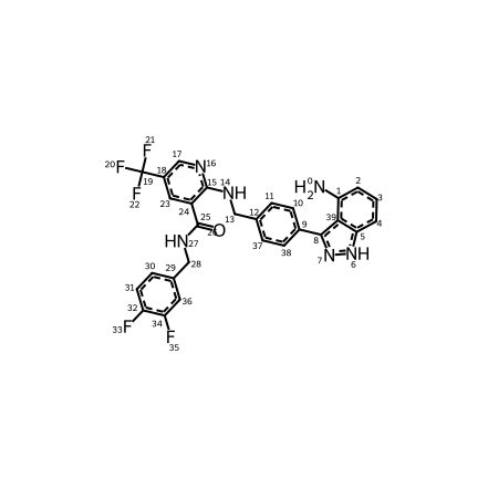 Nc1cccc2[nH]nc(-c3ccc(CNc4ncc(C(F)(F)F)cc4C(=O)NCc4ccc(F)c(F)c4)cc3)c12